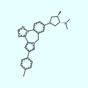 C[C@@H]1CN(c2ccc3c(c2)Cn2cc(-c4ccc(F)cc4)cc2-c2ncnn2-3)C[C@H]1N(C)C